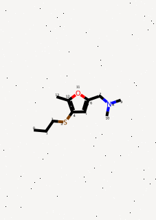 CCCSc1cc(CN(C)C)oc1C